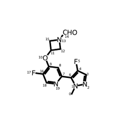 Cn1ncc(F)c1-c1cc(OC2CN(C=O)C2)c(F)cn1